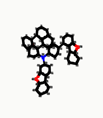 c1ccc(-c2cccc3cccc(-c4ccccc4N(c4ccc(-c5cccc6oc7ccccc7c56)cc4)c4ccc5c(c4)oc4ccccc45)c23)cc1